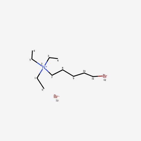 CC[N+](CC)(CC)CCCCCBr.[Br-]